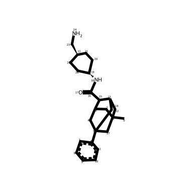 CC12CC3CC(c4ccccc4)(CC(C1)C3C(=O)N[C@H]1CC[C@H](CN)CC1)C2